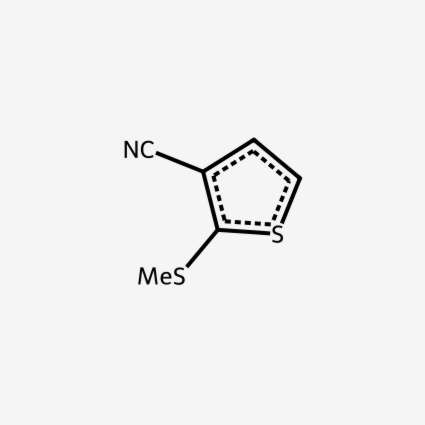 CSc1sccc1C#N